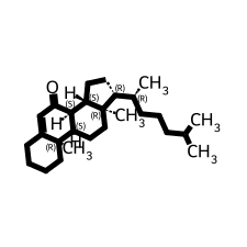 CC(C)CCC[C@@H](C)[C@H]1CC[C@H]2[C@@H]3C(=O)C=C4CCCC[C@]4(C)[C@H]3CC[C@]12C